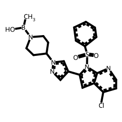 CB(O)N1CCC(n2cc(-c3cc4c(Cl)ccnc4n3S(=O)(=O)c3ccccc3)cn2)CC1